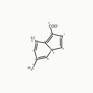 Cc1cnc2c(C(=O)[O-])ncn2c1.[Li+]